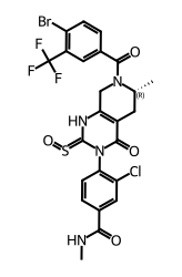 CNC(=O)c1ccc(-n2c(=S=O)[nH]c3c(c2=O)C[C@@H](C)N(C(=O)c2ccc(Br)c(C(F)(F)F)c2)C3)c(Cl)c1